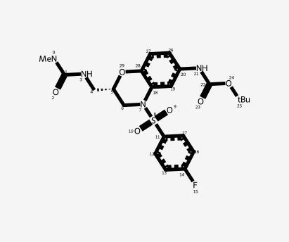 CNC(=O)NC[C@H]1CN(S(=O)(=O)c2ccc(F)cc2)c2cc(NC(=O)OC(C)(C)C)ccc2O1